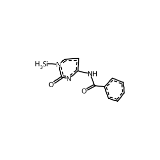 O=C(Nc1ccn([SiH3])c(=O)n1)c1ccccc1